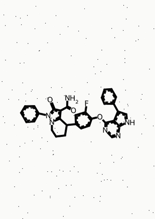 NC(=O)c1c2n(n(-c3ccccc3)c1=O)CCCC2c1ccc(Oc2ncnc3[nH]cc(-c4ccccc4)c23)c(F)c1